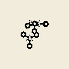 c1ccc(-c2nc(-c3ccccc3)nc(-c3cccc4cc(-c5c6nc(-c7ccccc7)sc6cc6oc7ccccc7c56)ccc34)n2)cc1